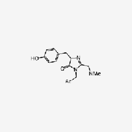 CNCC1=NC(Cc2ccc(O)cc2)C(=O)N1CC(C)=O